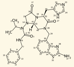 CC(C)N(C(=O)NCc1ccccc1)N1CC(=O)N2[C@@H](Cc3cnc[nH]3)C(=O)N(Cc3cccc4sc(N)nc34)C[C@@H]21